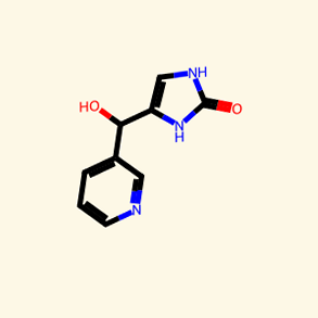 O=c1[nH]cc(C(O)c2cccnc2)[nH]1